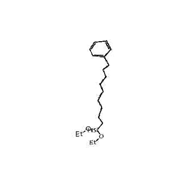 CCO[SiH](CCCCCCCCCc1ccccc1)OCC